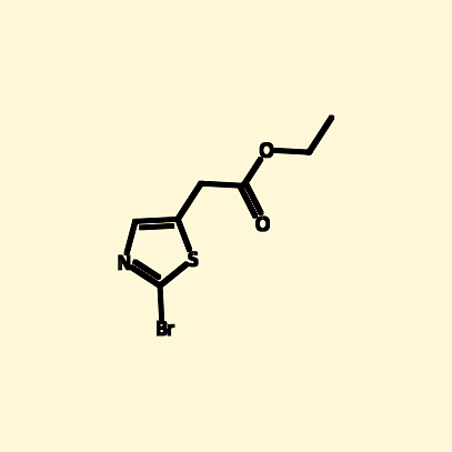 CCOC(=O)Cc1cnc(Br)s1